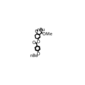 CCCCOC1=C(C(=O)OC)C=C(OC(=O)c2ccc(OCCCC)cc2)CC1